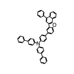 c1ccc(-c2ccc(N(c3ccc(-c4ccccc4)cc3)c3ccc(-c4ccc5oc6c7ccccc7c(-c7ccccc7)cc6c5c4)cc3)cc2)cc1